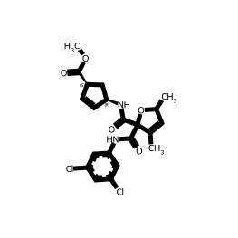 COC(=O)[C@@H]1C=C[C@H](NC(=O)C2(C(=O)Nc3cc(Cl)cc(Cl)c3)OC(C)C=C2C)C1